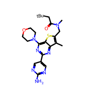 Cc1c(CN(C)C(=O)CC(C)(C)C)sc2c(N3CCOCC3)nc(-c3cnc(N)nc3)nc12